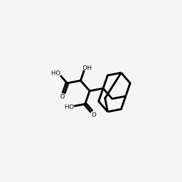 O=C(O)C(O)C(C(=O)O)C12CC3CC(CC(C3)C1)C2